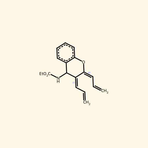 C=C/C=C1\C(=C/C=C)Oc2ccccc2C1NC(=O)OCC